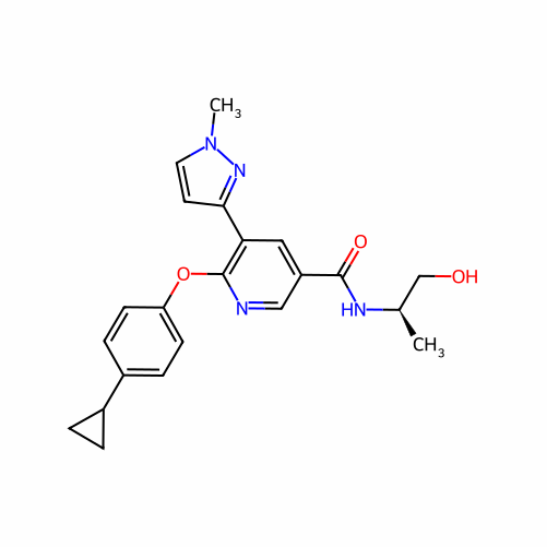 C[C@H](CO)NC(=O)c1cnc(Oc2ccc(C3CC3)cc2)c(-c2ccn(C)n2)c1